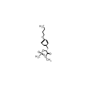 CCCCOc1ccc(C[C@@H](OS(C)(=O)=O)C(=O)OC)cc1